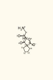 NCC(=O)NC(=O)[N+]1(C(=O)[O-])CCCC1